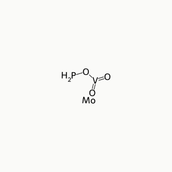 [Mo].[O]=[V](=[O])[O]P